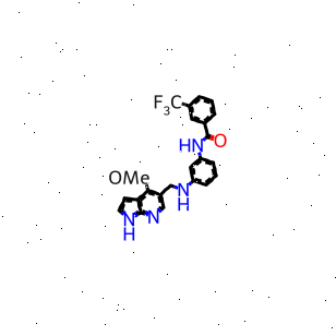 COc1c(CNc2cccc(NC(=O)c3cccc(C(F)(F)F)c3)c2)cnc2[nH]ccc12